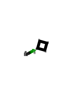 C1CCC1.CCBr